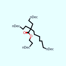 CCCCCCCCCCCCCCCCC(CCCCCCCCCCCC)(CCCCCCCCCCCC)C(=O)OCCCCCCCCCCCC